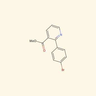 COC(=O)c1cccnc1-c1ccc(Br)cc1